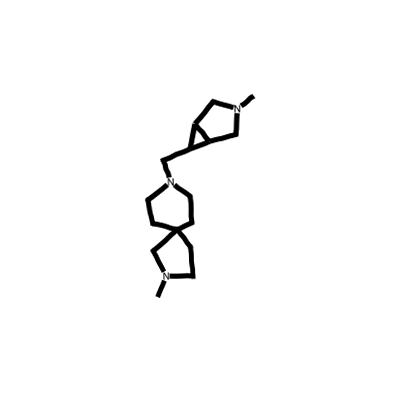 CN1CC2C(C1)C2CN1CCC2(CCN(C)C2)CC1